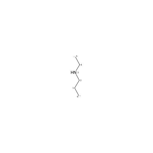 [CH2]CCNC[CH2]